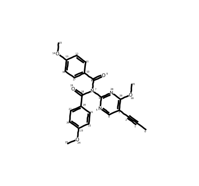 CC#Cc1cnc(N(C(=O)c2ccc(OC)cc2)C(=O)c2ccc(OC)cc2)nc1OC